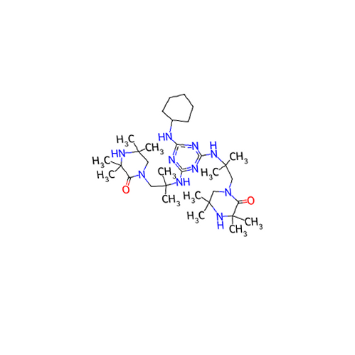 CC(C)(CN1CC(C)(C)NC(C)(C)C1=O)Nc1nc(NC2CCCCC2)nc(NC(C)(C)CN2CC(C)(C)NC(C)(C)C2=O)n1